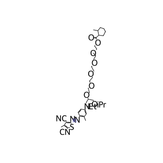 CCN(CC(COC(C)C)OCCOCCOCCOCCOCCOC(=O)C1CCCCC1C)c1ccc(/N=N/c2sc(C#N)c(C)c2C#N)c(C)c1